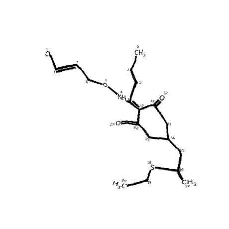 CCCC(NOC/C=C/Cl)=C1C(=O)CC(CC(C)SCC)CC1=O